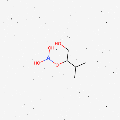 CC(C)C(CO)ON(O)O